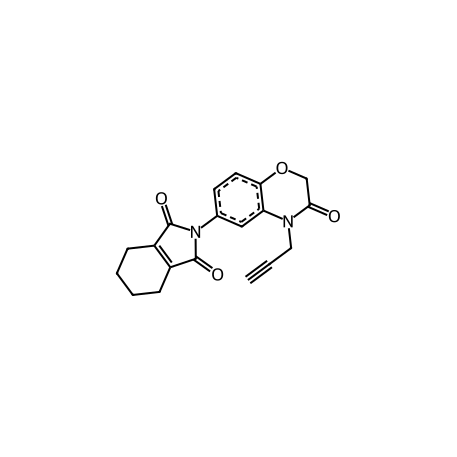 C#CCN1C(=O)COc2ccc(N3C(=O)C4=C(CCCC4)C3=O)cc21